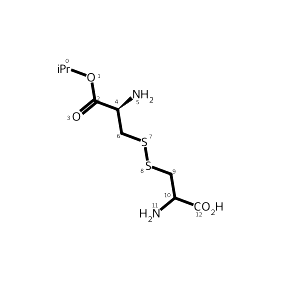 CC(C)OC(=O)[C@@H](N)CSSCC(N)C(=O)O